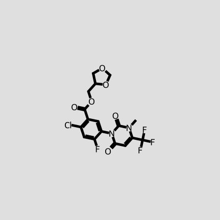 Cn1c(C(F)(F)F)cc(=O)n(-c2cc(C(=O)OCC3COCO3)c(Cl)cc2F)c1=O